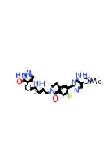 COc1cnc(-c2cc3ccn(CC=CC(C)Nc4cn[nH]c(=O)c4C(F)(F)F)c(=O)c3cc2F)nc1N